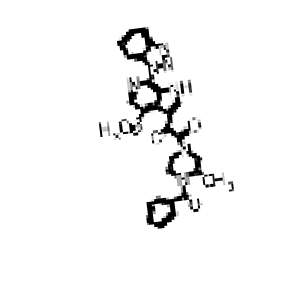 COc1cnc(-n2nnc3ccccc32)c2[nH]cc(C(=O)C(=O)N3CCN(C(=O)c4ccccc4)C(C)C3)c12